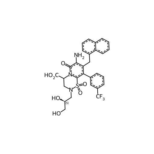 Nc1c(Cc2cccc3ccccc23)c(-c2cccc(C(F)(F)F)c2)c2n(c1=O)C(C(=O)O)CN(C[C@H](O)CO)S2(=O)=O